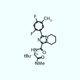 CNC(=O)[C@@H](NC(=O)c1nc(-c2cc(C)c(F)cc2F)n2c1CCCC2)C(C)(C)C